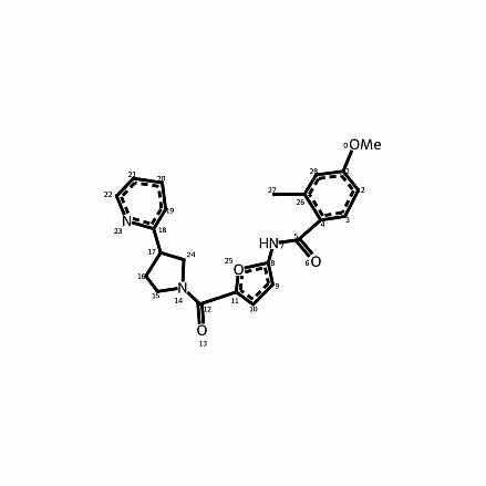 COc1ccc(C(=O)Nc2ccc(C(=O)N3CCC(c4ccccn4)C3)o2)c(C)c1